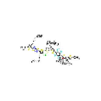 CCCCCCCCCCCCCCc1cc(C)sc1-c1nc2sc(-c3sc(-c4cc5c(s4)-c4sc(-c6c(F)c(F)c(-c7cc8c(s7)-c7sc(C)cc7[Si]8(CC(CC)CCCC)CC(CC)CCCC)c(F)c6F)cc4[Si]5(CC(CC)CCCC)CC(CC)CCCC)c(Cl)c3CCCCCCCCCCCCCC)nc2s1